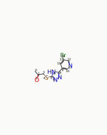 CC(=O)CSc1nnc(-c2cncc(Br)c2)[nH]1